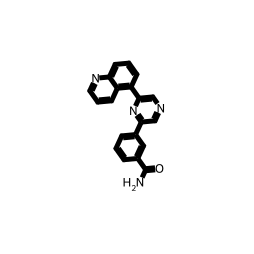 NC(=O)c1cccc(-c2cncc(-c3cccc4ncccc34)n2)c1